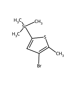 Cc1sc([Si](C)(C)C)cc1Br